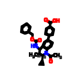 CC(=O)N1c2ccc(-c3ccc(C(=O)O)cc3)cc2C(NC(=O)OCc2ccccc2)[C@@H](C)[C@@H]1C1CC1